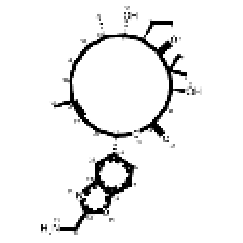 CC[C@H]1C(=O)C(C)(C)[C@@H](O)CC(=O)O[C@H](c2ccc3oc(CN)nc3c2)C/C=C(/C)CCC[C@H](C)[C@@H]1O